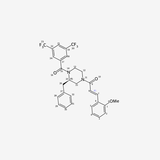 COc1ccccc1/C=C/C(=O)N1CCN(C(=O)c2cc(C(F)(F)F)cc(C(F)(F)F)c2)[C@H](Cc2ccccc2)C1